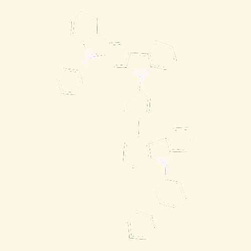 c1ccc(-c2cccc(-n3c4ccccc4c4c(-c5ccc(-n6c7ccccc7c7cc8c9ccccc9n(-c9ccccc9)c8cc76)cc5)cccc43)c2)cc1